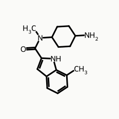 Cc1cccc2cc(C(=O)N(C)C3CCC(N)CC3)[nH]c12